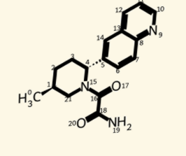 C[C@H]1CC[C@H](c2ccc3ncccc3c2)N(C(=O)C(N)=O)C1